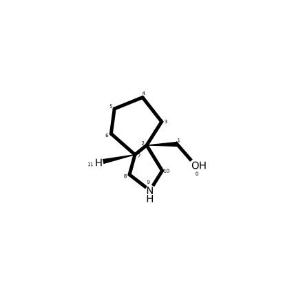 OC[C@]12CCCC[C@H]1CNC2